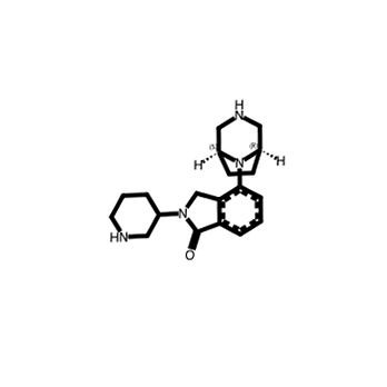 O=C1c2cccc(N3[C@@H]4CC[C@H]3CNC4)c2CN1C1CCCNC1